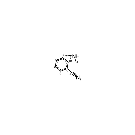 CNC.N#Cc1ccccc1